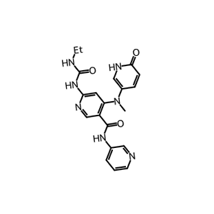 CCNC(=O)Nc1cc(N(C)c2ccc(=O)[nH]c2)c(C(=O)Nc2cccnc2)cn1